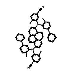 Cc1ccc(C#N)cc1N(c1cc(-c2ccccc2)ccc1C)c1ccc2ccc3c(N(c4cc(C#N)ccc4C)c4cc(-c5ccccc5)ccc4C)ccc4ccc1c2c43